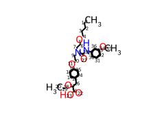 CCCCCOCCN(CCOc1ccc(CC(OCC)C(=O)O)cc1)C(=O)Nc1cccc(OC)c1